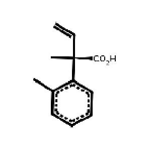 C=C[C@](C)(C(=O)O)c1ccccc1C